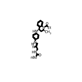 CCCCC(=O)NCc1cn(-c2ccc(N[C@@H]3C[C@H](C)N(C(=O)CC)c4ccccc43)cc2)nn1